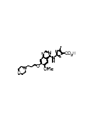 COc1cc2c(Nc3nc(C)c(C(=O)O)s3)ncnc2cc1OCCCN1CCOCC1